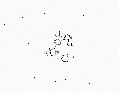 Cc1oc(C(=O)N[C@H](CN)Cc2ccc(F)c(F)c2)cc1-c1c(Cl)cnn1C